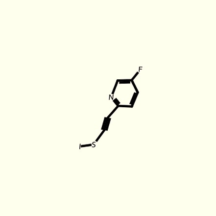 Fc1ccc(C#CSI)nc1